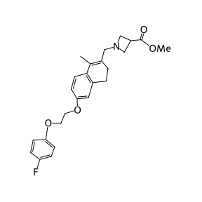 COC(=O)C1CN(CC2=C(C)c3ccc(OCCOc4ccc(F)cc4)cc3CC2)C1